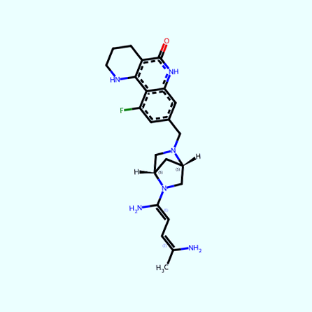 C/C(N)=C/C=C(\N)N1C[C@@H]2C[C@H]1CN2Cc1cc(F)c2c3c(c(=O)[nH]c2c1)CCCN3